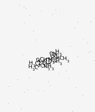 CCC(C)(C)C(=O)C(C)(CC)N1CCCN(C(C)(CC)C(=O)C(C)(C)CC)CC1